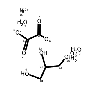 O.O.O.O=C([O-])C(=O)[O-].OCC(O)CO.[Ni+2]